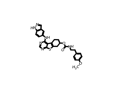 COc1ccc(CCNC(=O)OC2CCc3c(sc4ncnc(Nc5ccc6[nH]ncc6c5)c34)C2)cc1